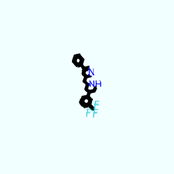 FC(F)(F)c1cccc(C2=CCNC(Cc3cncc(-c4ccccc4)c3)C2)c1